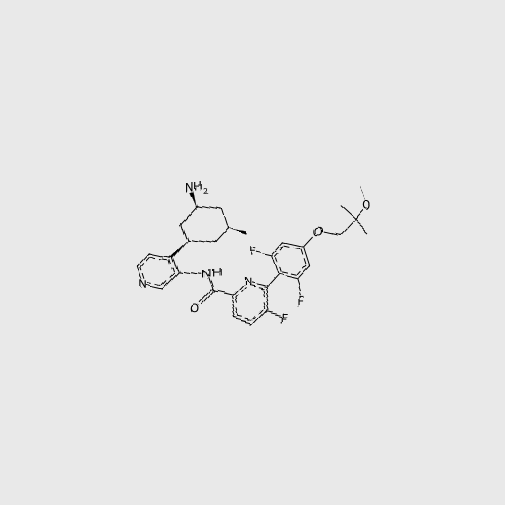 COC(C)(C)COc1cc(F)c(-c2nc(C(=O)Nc3cnccc3[C@@H]3C[C@H](C)C[C@H](N)C3)ccc2F)c(F)c1